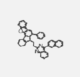 C1=CC2=C(CC1)C(CCc1nc(-c3ccc4ccccc4c3)c3ccccc3n1)c1c(-c3ccccc3)cc3c(oc4ccccc43)c12